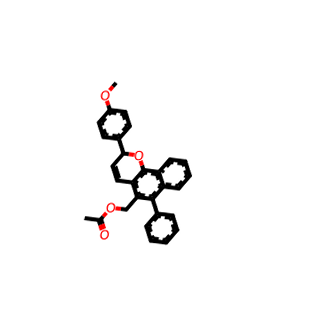 COc1ccc(C2C=Cc3c(COC(C)=O)c(-c4ccccc4)c4ccccc4c3O2)cc1